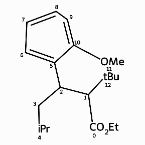 CCOC(=O)C(C(CC(C)C)c1ccccc1OC)C(C)(C)C